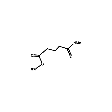 CNC(=O)CCCC(=O)OC(C)(C)C